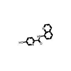 O=C(Nc1cccc2cccnc12)c1ccc(O)cn1